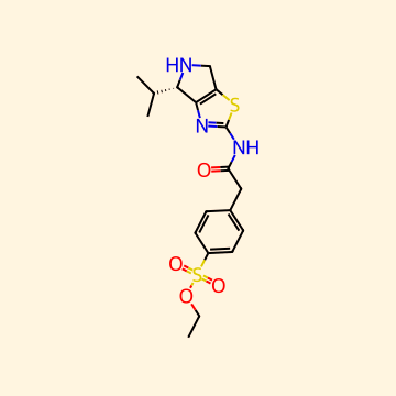 CCOS(=O)(=O)c1ccc(CC(=O)Nc2nc3c(s2)CN[C@H]3C(C)C)cc1